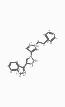 c1ccc2c(C3CN(c4cnn(CCc5ccncc5)c4)N=N3)n[nH]c2c1